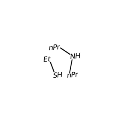 CCCNCCC.CCS